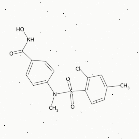 Cc1ccc(S(=O)(=O)N(C)c2ccc(C(=O)NO)cc2)c(Cl)c1